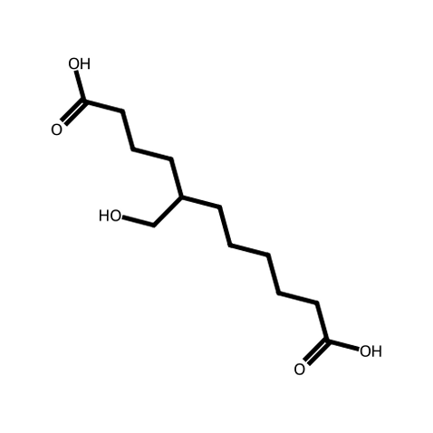 O=C(O)CCCCCC(CO)CCCC(=O)O